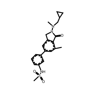 Cc1cc(-c2cccc(NS(C)(=O)=O)c2)cc2c1C(=O)N(N(C)CC1CC1)C2